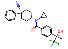 C[C@](O)(c1ccc(C(=O)N(C2CC2)[C@H]2CC[C@](C#N)(c3ccccc3)CC2)cc1)C(F)(F)F